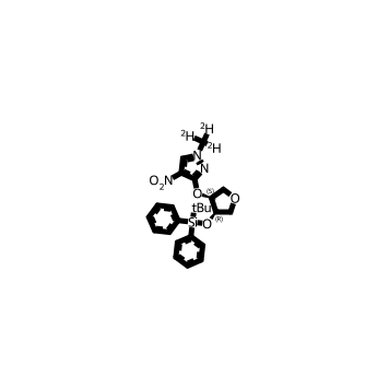 [2H]C([2H])([2H])n1cc([N+](=O)[O-])c(O[C@H]2COC[C@H]2O[Si](c2ccccc2)(c2ccccc2)C(C)(C)C)n1